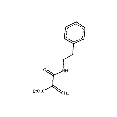 C=C(C(=O)NCCc1ccccc1)C(=O)OCC